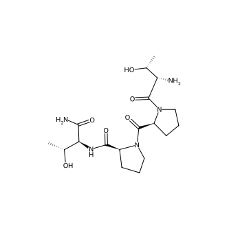 C[C@@H](O)[C@H](N)C(=O)N1CCC[C@H]1C(=O)N1CCC[C@H]1C(=O)N[C@H](C(N)=O)[C@@H](C)O